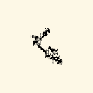 CCn1nc(C2CC2)cc1Nc1nc(C(=O)NCCCCCCCC(=O)N[C@H](C(=O)N2C[C@H](O)C[C@H]2C(=O)NCc2ccc(-c3scnc3C)cc2)C(C)(C)C)nc2[nH]c3cc(-c4c(C)noc4C)c(OC)cc3c12